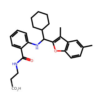 Cc1ccc2oc(C(Nc3ccccc3C(=O)NCCC(=O)O)C3CCCCC3)c(C)c2c1